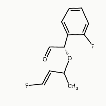 CC(C=CF)O[C@H](C=O)c1ccccc1F